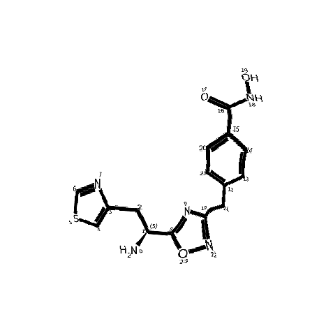 N[C@@H](Cc1cscn1)c1nc(Cc2ccc(C(=O)NO)cc2)no1